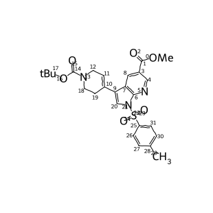 COC(=O)c1cnc2c(c1)c(C1=CCN(C(=O)OC(C)(C)C)CC1)cn2S(=O)(=O)c1ccc(C)cc1